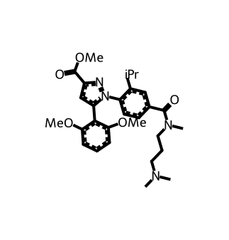 COC(=O)c1cc(-c2c(OC)cccc2OC)n(-c2ccc(C(=O)N(C)CCCN(C)C)cc2C(C)C)n1